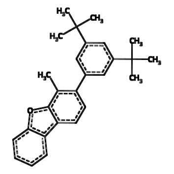 Cc1c(-c2cc(C(C)(C)C)cc(C(C)(C)C)c2)ccc2c1oc1ccccc12